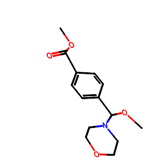 COC(=O)c1ccc(C(OC)N2CCOCC2)cc1